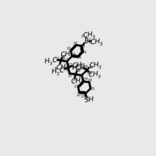 CB(C)C1=C=C=C(C(C(C)(C)C)C(C)(C)CC(C)(C)C(C2=CC=C(S)CC2)C(C)(C)C)C=C1